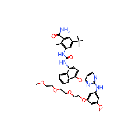 COCCOCCOCCOc1cc(Nc2nccc(Oc3ccc(NC(=O)Nc4cc(C(C)(C)C)cc(C(N)=O)c4C)c4ccccc34)n2)cc(OC)c1